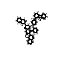 c1cc(-c2ccc3ccccc3c2)cc(N(c2ccc(-c3cccc4c3sc3ccccc34)cc2)c2ccccc2-c2cccc3oc4c5ccccc5ccc4c23)c1